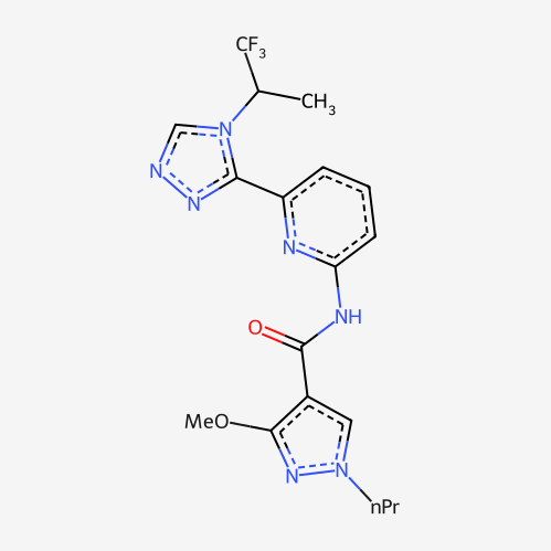 CCCn1cc(C(=O)Nc2cccc(-c3nncn3C(C)C(F)(F)F)n2)c(OC)n1